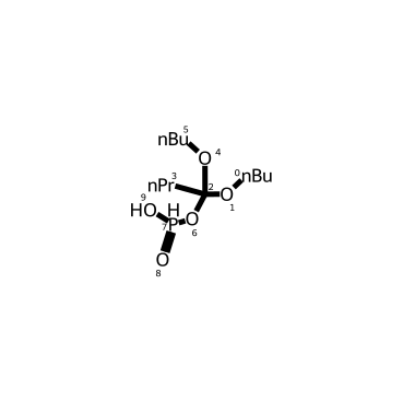 CCCCOC(CCC)(OCCCC)O[PH](=O)O